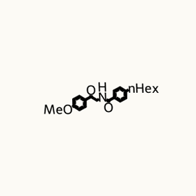 CCCCCCc1ccc(C(=O)NCC(=O)c2ccc(OC)cc2)cc1